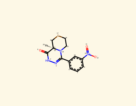 O=C1NN=C(c2cccc([N+](=O)[O-])c2)N2CCSC[C@H]12